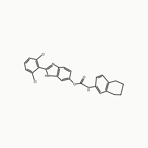 O=C(Nc1ccc2c(c1)CCCC2)Oc1ccc2nc(-c3c(Cl)cccc3Cl)[nH]c2c1